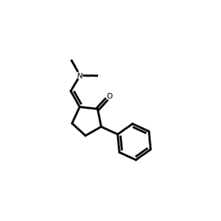 CN(C)/C=C1/CCC(c2ccccc2)C1=O